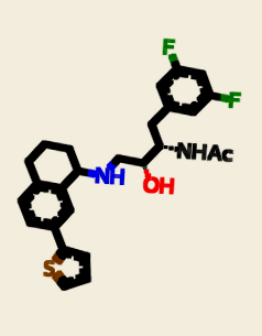 CC(=O)N[C@@H](Cc1cc(F)cc(F)c1)[C@H](O)CNC1CCCc2ccc(-c3cccs3)cc21